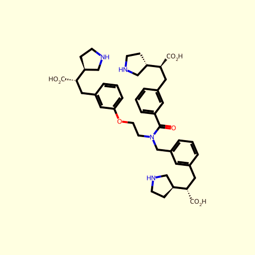 O=C(O)[C@@H](Cc1cccc(CN(CCOc2cccc(C[C@H](C(=O)O)[C@H]3CCNC3)c2)C(=O)c2cccc(C[C@H](C(=O)O)[C@H]3CCNC3)c2)c1)[C@H]1CCNC1